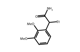 CCC(C(N)=O)c1cccc(OC)c1OC